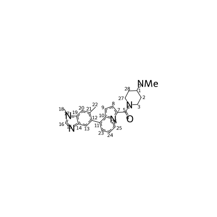 CNC1CCN(C(=O)c2ccc3c(-c4cc5ncn(C)c5cc4C)cccn23)CC1